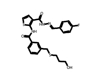 O=C(Nc1sccc1C(=O)NN=Cc1ccc(F)cc1)c1cccc(CSCCCO)c1